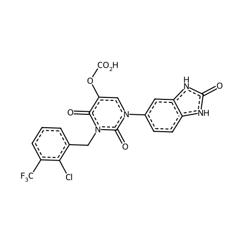 O=C(O)Oc1cn(-c2ccc3[nH]c(=O)[nH]c3c2)c(=O)n(Cc2cccc(C(F)(F)F)c2Cl)c1=O